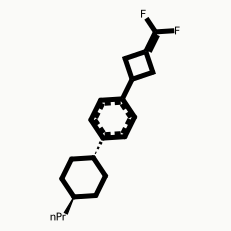 CCC[C@H]1CC[C@H](c2ccc(C3CC(=C(F)F)C3)cc2)CC1